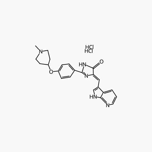 CN1CCC(Oc2ccc(C3=N/C(=C\c4c[nH]c5ncccc45)C(=O)N3)cc2)CC1.Cl.Cl